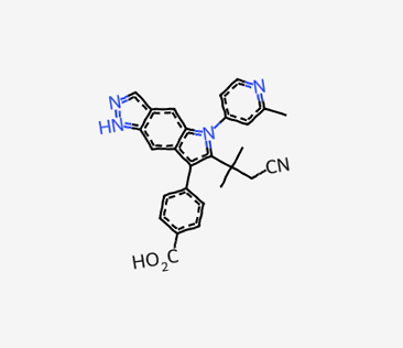 Cc1cc(-n2c(C(C)(C)CC#N)c(-c3ccc(C(=O)O)cc3)c3cc4[nH]ncc4cc32)ccn1